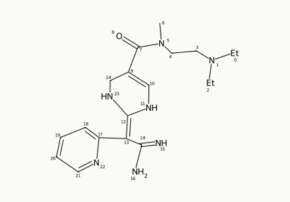 CCN(CC)CCN(C)C(=O)C1=CN/C(=C(\C(=N)N)c2ccccn2)NC1